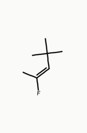 C/C(F)=C\C(C)(C)C